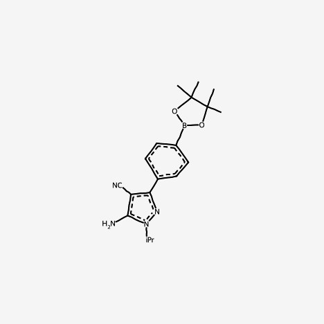 CC(C)n1nc(-c2ccc(B3OC(C)(C)C(C)(C)O3)cc2)c(C#N)c1N